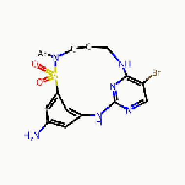 CC(=O)N1CCCNc2nc(ncc2Br)Nc2cc(N)cc(c2)S1(=O)=O